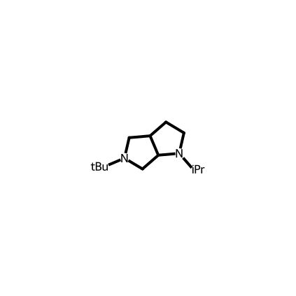 CC(C)N1CCC2CN(C(C)(C)C)CC21